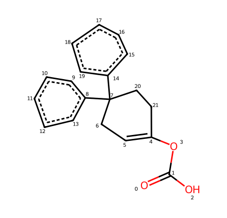 O=C(O)OC1=CCC(c2ccccc2)(c2ccccc2)CC1